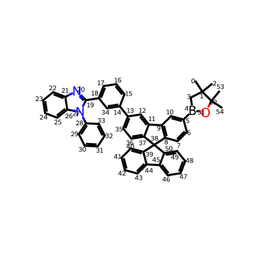 CC1(C)CB(c2ccc3c(c2)-c2cc(-c4cccc(-c5nc6ccccc6n5-c5ccccc5)c4)ccc2C32c3ccccc3-c3ccccc32)OC1(C)C